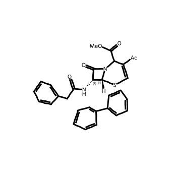 COC(=O)C1C(C(C)=O)=CS[C@@H]2[C@H](NC(=O)Cc3ccccc3)C(=O)N12.c1ccc(-c2ccccc2)cc1